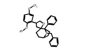 CC(C)Oc1ccc(OC(F)(F)F)cc1C1COC2(CCC3CCC2(c2ccccc2)N3Cc2ccccc2)C1